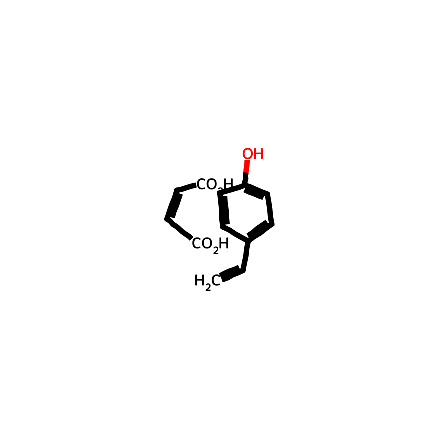 C=Cc1ccc(O)cc1.O=C(O)/C=C\C(=O)O